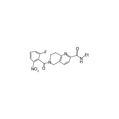 CCNC(=O)c1ccc2c(n1)CCN(C(=O)c1c(F)cccc1[N+](=O)[O-])C2